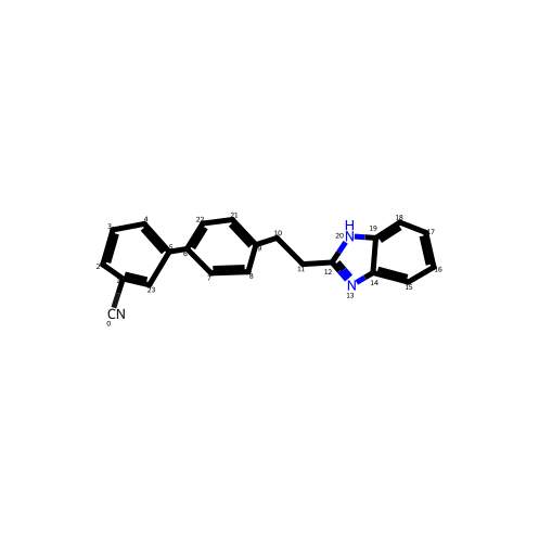 N#Cc1cccc(-c2ccc(CCc3nc4ccccc4[nH]3)cc2)c1